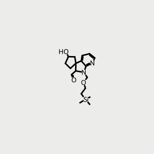 C[Si](C)(C)CCOCN1c2ncccc2C2(CCC(O)C2)C1C=O